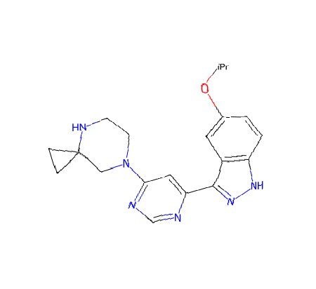 CC(C)Oc1ccc2[nH]nc(-c3cc(N4CCNC5(CC5)C4)ncn3)c2c1